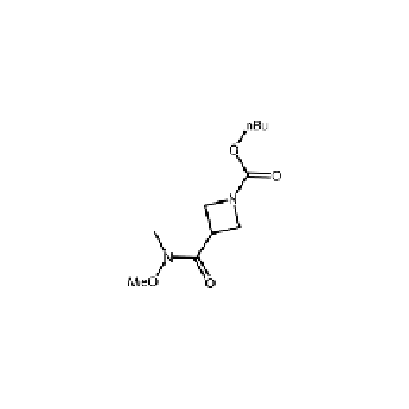 CCCCOC(=O)N1CC(C(=O)N(C)OC)C1